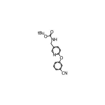 CC(C)(C)OC(=O)NCc1ccc(Oc2cccc(C#N)c2)nc1